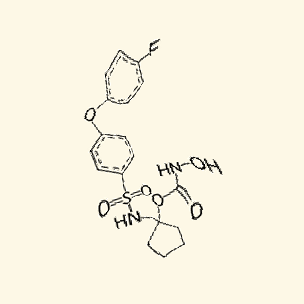 O=C(NO)OC1(NS(=O)(=O)c2ccc(Oc3ccc(F)cc3)cc2)CCCC1